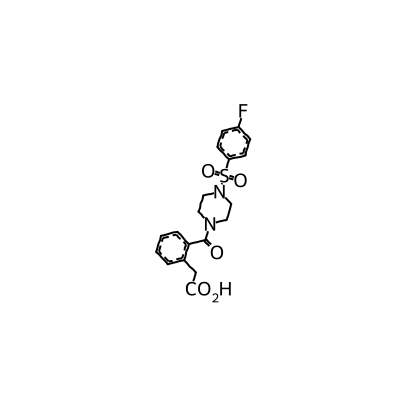 O=C(O)Cc1ccccc1C(=O)N1CCN(S(=O)(=O)c2ccc(F)cc2)CC1